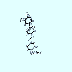 CCCCCC[C@H]1CC[C@H](CC[C@H]2CO[C@H](c3ccc(F)c(F)c3)OC2)CC1